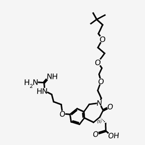 CC(C)(C)CCOCCOCCOCCN1Cc2cc(OCCCNC(=N)N)ccc2C[C@@H](CC(=O)O)C1=O